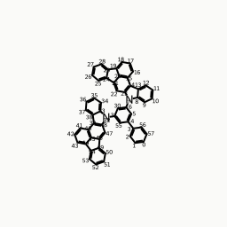 c1ccc(-c2cc(-n3c4ccccc4c4c5cccc6c5c(cc43)-c3ccccc3-6)cc(-n3c4ccccc4c4c5cccc6c5c(cc43)-c3ccccc3-6)c2)cc1